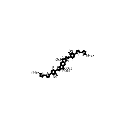 CCCCCCCCC1(CCCCCCCC)c2cc3c(cc2-c2sc(-c4c(F)cc(-c5ccc(-c6ccc(CCCCCC)s6)s5)c5nsnc45)cc21)C(CCCCCCCC)(CCCCCCCC)c1cc(-c2c(F)cc(-c4ccc(-c5ccc(CCCCCC)s5)s4)c4nsnc24)sc1-3